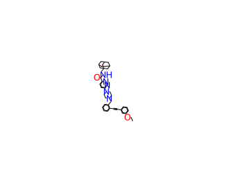 CCOc1cccc(C#Cc2ccccc2CN2CCN(c3ccc(C(=O)NCC45CC6CC(CC(C6)C4)C5)nn3)CC2)c1